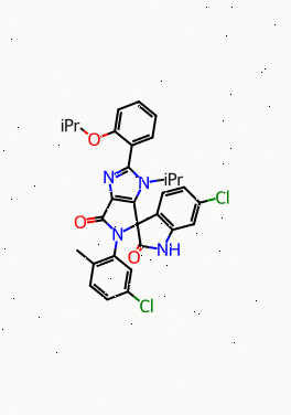 Cc1ccc(Cl)cc1N1C(=O)c2nc(-c3ccccc3OC(C)C)n(C(C)C)c2C12C(=O)Nc1cc(Cl)ccc12